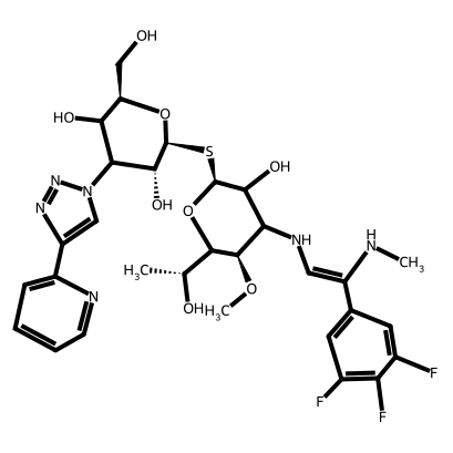 CN/C(=C\NC1C(O)[C@H](S[C@@H]2O[C@H](CO)C(O)C(n3cc(-c4ccccn4)nn3)[C@H]2O)OC([C@@H](C)O)[C@@H]1OC)c1cc(F)c(F)c(F)c1